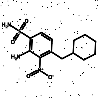 Nc1c(S(N)(=O)=O)ccc(CC2CCCCC2)c1[N+](=O)[O-]